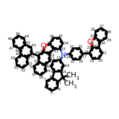 CC1(C)c2ccccc2-c2ccc(N(c3ccc(-c4cccc5c4oc4ccccc45)cc3)c3cccc4oc5c(-c6cc7ccccc7c7ccccc67)c6ccccc6cc5c34)cc21